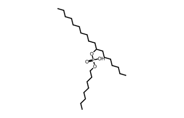 CCCCCCCCCCC(CCCCCCC)OP(=O)(O)OCCCCCCCC